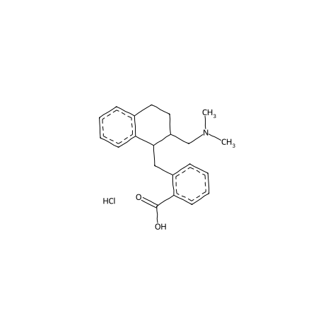 CN(C)CC1CCc2ccccc2C1Cc1ccccc1C(=O)O.Cl